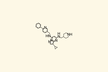 c1ccc(-c2ccc(CNc3cc(NCC4CCNCC4)nc4c(C5CC5)cnn34)cn2)cc1